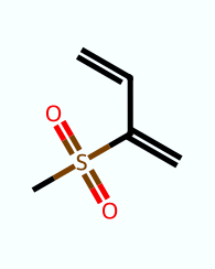 C=CC(=C)S(C)(=O)=O